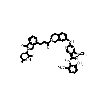 Cc1cccc(C)c1Nc1nn(C)c2nc(Nc3ccc4c(c3)CN(C(=O)CCc3cccc5c3CN(C3CCC(=O)NC3=O)C5=O)CC4)ncc12